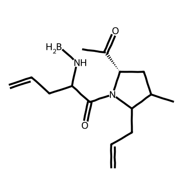 BNC(CC=C)C(=O)N1C(CC=C)C(C)C[C@H]1C(C)=O